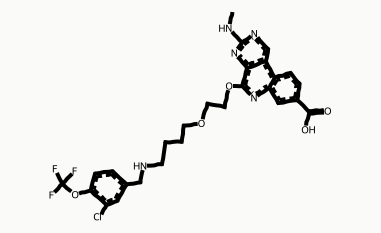 CNc1ncc2c(n1)c(OCCOCCCCNCc1ccc(OC(F)(F)F)c(Cl)c1)nc1cc(C(=O)O)ccc12